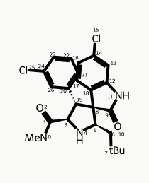 CNC(=O)[C@@H]1N[C@H](CC(C)(C)C)[C@]2(C(=O)Nc3cc(Cl)ccc32)[C@H]1c1cccc(Cl)c1